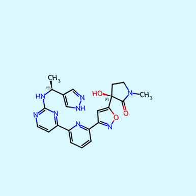 C[C@H](Nc1nccc(-c2cccc(-c3cc([C@]4(O)CCN(C)C4=O)on3)n2)n1)c1cn[nH]c1